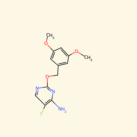 COc1cc(COc2ncc(F)c(N)n2)cc(OC)c1